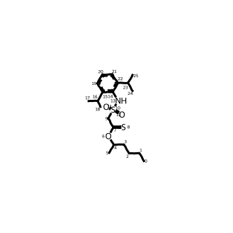 CCCCC(C)OC(=S)CS(=O)(=O)Nc1c(C(C)C)cccc1C(C)C